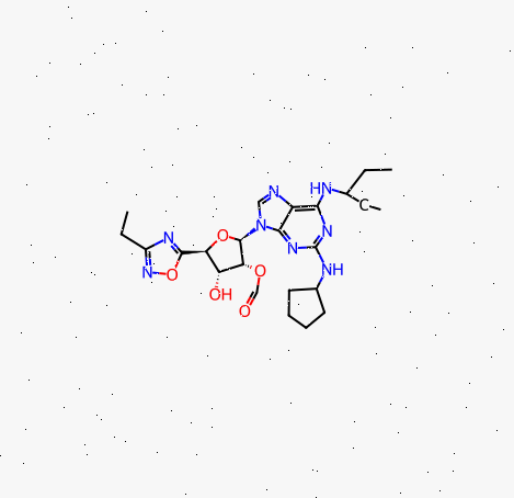 CCc1noc([C@H]2O[C@@H](n3cnc4c(NC(CC)CC)nc(NC5CCCC5)nc43)[C@H](OC=O)[C@@H]2O)n1